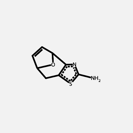 Nc1nc2c(s1)CC1C=CC2O1